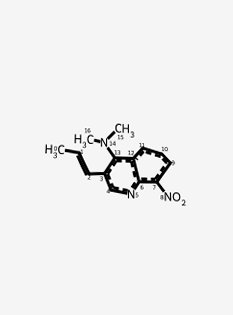 CC=Cc1cnc2c([N+](=O)[O-])cccc2c1N(C)C